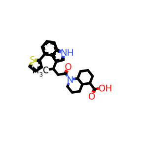 CC(CC(=O)N1CCCC2C(C(=O)O)CCCC21)c1c[nH]c2cccc(-c3cccs3)c12